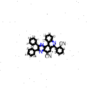 N#Cc1ccccc1-c1nc2ccccc2c2c1cc(C#N)c1nc(-c3ccccc3)c(-c3ccccc3)nc12